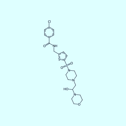 O=C(NCc1ccc(S(=O)(=O)N2CCN(CC(O)N3CCOCC3)CC2)s1)c1ccc(Cl)cc1